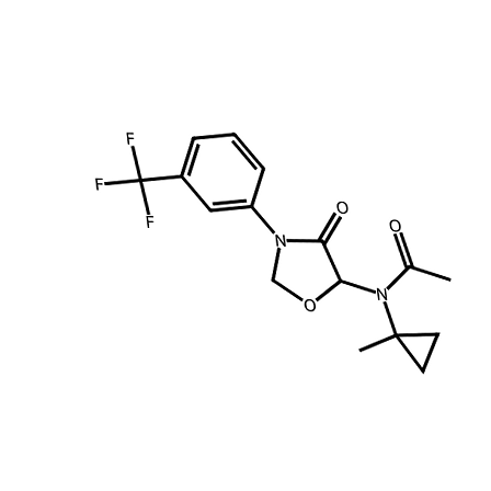 CC(=O)N(C1OCN(c2cccc(C(F)(F)F)c2)C1=O)C1(C)CC1